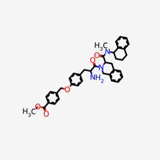 COC(=O)c1ccc(COc2ccc(CC(N)C(=O)N3Cc4ccccc4CC3C(=O)N(C)C3CCCc4ccccc43)cc2)cc1